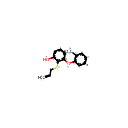 C=CCSc1c(O)cccc1Oc1ccccc1C(=O)O